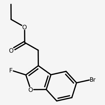 CCOC(=O)Cc1c(F)oc2ccc(Br)cc12